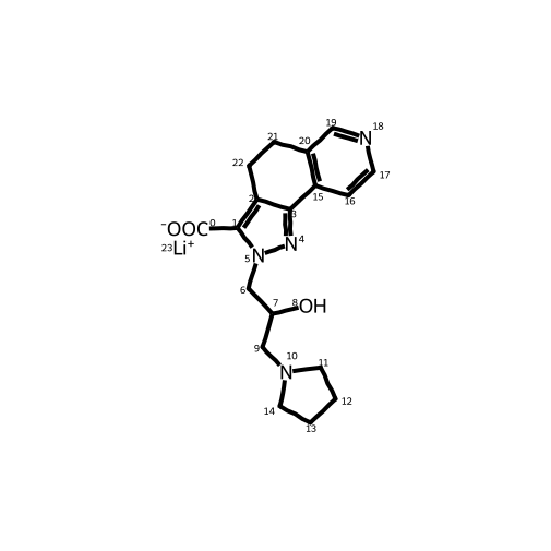 O=C([O-])c1c2c(nn1CC(O)CN1CCCC1)-c1ccncc1CC2.[Li+]